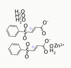 O.O.O.O.O=C([O-])/C=C/S(=O)(=O)c1ccccc1.O=C([O-])/C=C/S(=O)(=O)c1ccccc1.[Zn+2]